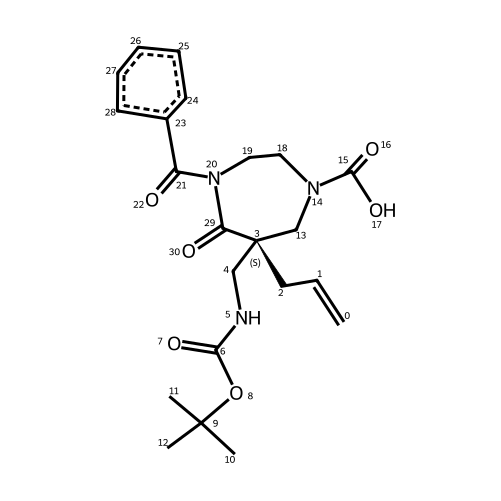 C=CC[C@]1(CNC(=O)OC(C)(C)C)CN(C(=O)O)CCN(C(=O)c2ccccc2)C1=O